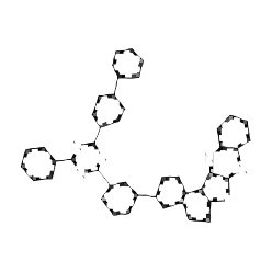 c1ccc(-c2ccc(-c3nc(-c4ccccc4)nc(-c4cccc(-c5ccc6c(ccc7oc8nc9ccccc9nc8c76)c5)c4)n3)cc2)cc1